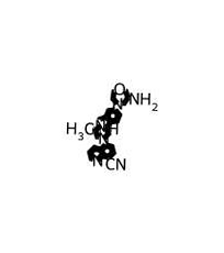 C[C@@H]1CN(c2ccc(C#N)c3ncccc23)C[C@@H]2c3ccc(N4CCOCC(N)C4)cc3CN12